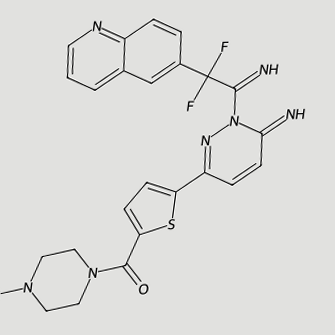 CN1CCN(C(=O)c2ccc(-c3ccc(=N)n(C(=N)C(F)(F)c4ccc5ncccc5c4)n3)s2)CC1